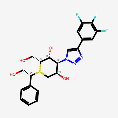 OC[C@@H]1[C@H](O)[C@@H](n2cc(-c3cc(F)c(F)c(F)c3)nn2)[C@@H](O)C[SH]1[C@@H](CO)c1ccccc1